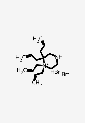 Br.C=CCC1(CC=C)CNCC[N+]1(CC=C)CC=C.[Br-]